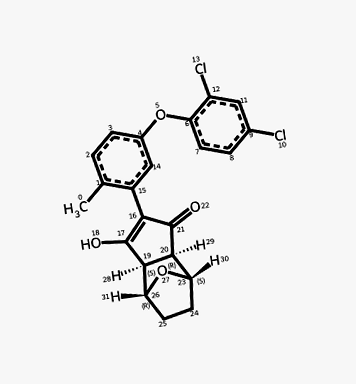 Cc1ccc(Oc2ccc(Cl)cc2Cl)cc1C1=C(O)[C@H]2[C@@H](C1=O)[C@@H]1CC[C@H]2O1